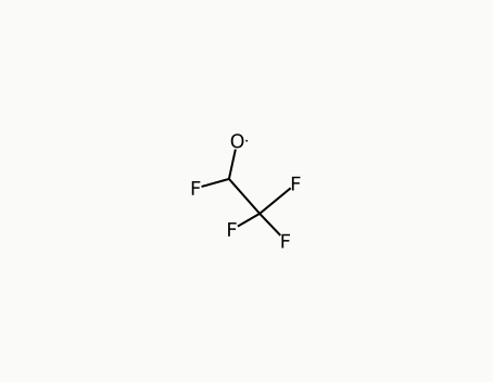 [O]C(F)C(F)(F)F